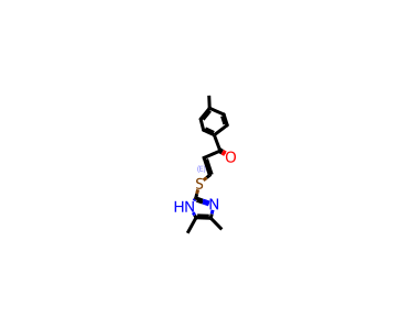 Cc1ccc(C(=O)/C=C/Sc2nc(C)c(C)[nH]2)cc1